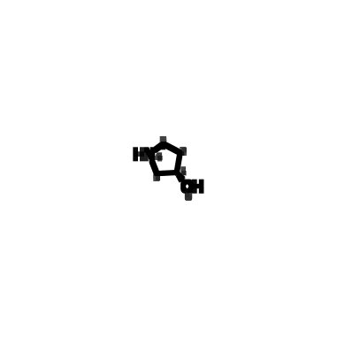 O[C@@H]1C[CH]NC1